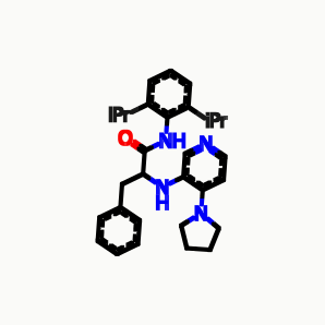 CC(C)c1cccc(C(C)C)c1NC(=O)C(Cc1ccccc1)Nc1cnccc1N1CCCC1